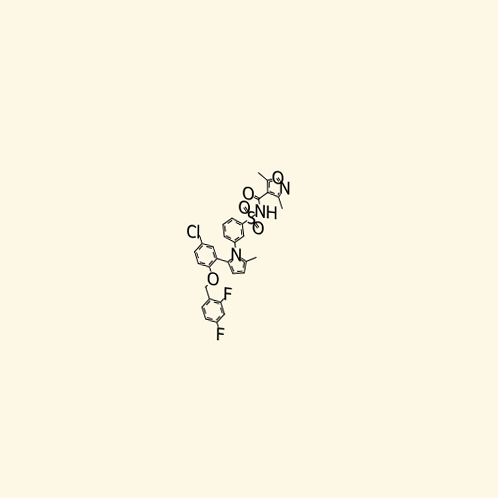 Cc1noc(C)c1C(=O)NS(=O)(=O)c1cccc(-n2c(C)ccc2-c2cc(Cl)ccc2OCc2ccc(F)cc2F)c1